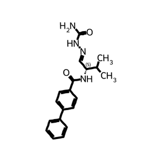 CC(C)[C@@H](C=NNC(N)=O)NC(=O)c1ccc(-c2ccccc2)cc1